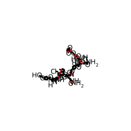 Cc1cccc2c(OC(=O)N(CCCNC(N)=O)CCN(C)C(=O)OCc3ccc(NC(=O)[C@H](CCCNC(N)=O)NC(=O)[C@@H](NC(=O)OCCOCCN4C(=O)C=CC4=O)C(C)C)cc3)cc3c(c12)[C@H](CCl)CN3C(=O)c1cc2cc(NC(=O)c3ccc(OCCO)cc3)cnc2[nH]1